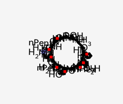 CCCCCCN1CC(=O)N[C@@H](Cc2ccc(O)cc2)C(=O)N[C@@H](CCCCC)C(=O)N[C@H](CC(N)=O)C(=O)N[C@H]2CCCN/C(N)=N\C(C)C[C@H](NC2=O)C(=O)N[C@@H](CCCCC)C(=O)N2CCC[C@H]2C(=O)NC(C(C)C)C(=O)N[C@@H](CO)C(=O)N[C@@H](C)CSCC(=O)N[C@@H](Cc2ccccc2)C(=O)N[C@@H](Cc2ccc(O)cc2)C(=O)N[C@@H](CC(=O)O)C1=O